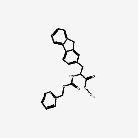 COC(=O)C(Cc1ccc2c(c1)Cc1ccccc1-2)NC(=O)OCc1ccccc1